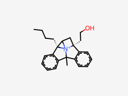 CCCC[C@]12c3ccccc3C3(C)c4ccccc4[C@]4(CCO)CC1[N+]342